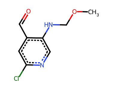 COCNc1cnc(Cl)cc1C=O